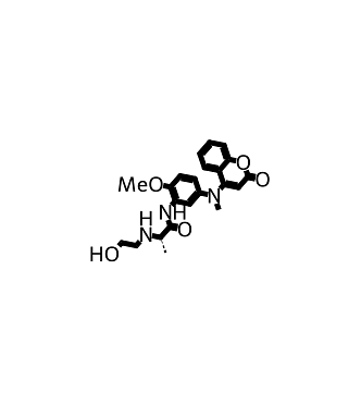 COc1ccc(N(C)c2cc(=O)oc3ccccc23)cc1NC(=O)[C@H](C)NCCO